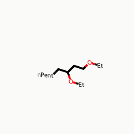 CCCCCCC(CCOCC)OCC